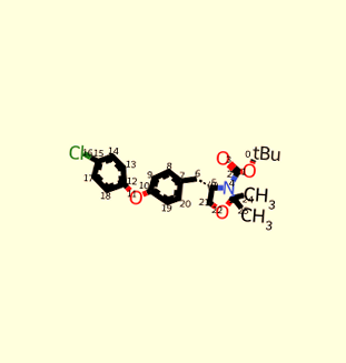 CC(C)(C)OC(=O)N1[C@@H](Cc2ccc(Oc3ccc(Cl)cc3)cc2)COC1(C)C